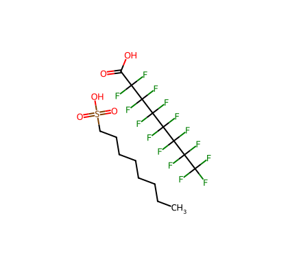 CCCCCCCCS(=O)(=O)O.O=C(O)C(F)(F)C(F)(F)C(F)(F)C(F)(F)C(F)(F)C(F)(F)C(F)(F)F